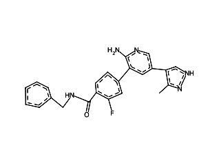 Cc1n[nH]cc1-c1cnc(N)c(-c2ccc(C(=O)NCc3ccccc3)c(F)c2)c1